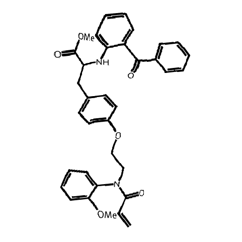 C=CC(=O)N(CCOc1ccc(CC(Nc2ccccc2C(=O)c2ccccc2)C(=O)OC)cc1)c1ccccc1OC